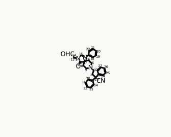 N#CC(CCN1CCC2(CC1)C(=O)N(CC=O)CN2c1ccccc1)(c1ccccc1)c1ccccc1